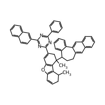 CC1CC=Cc2oc3c(c21)C(C)(C1CCc2cc4ccccc4cc2-c2ccccc21)CC(c1nc(-c2ccccc2)nc(-c2ccc4ccccc4c2)n1)=C3